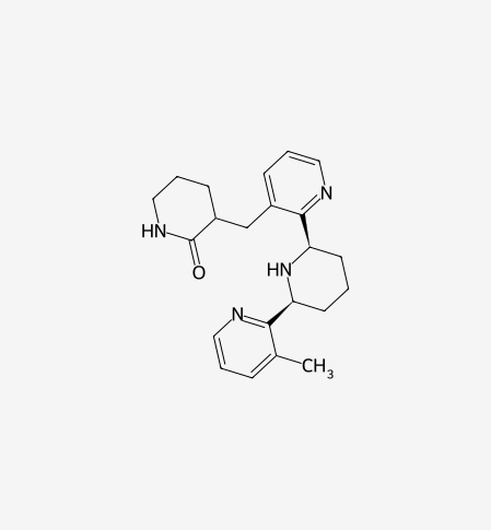 Cc1cccnc1[C@@H]1CCC[C@H](c2ncccc2CC2CCCNC2=O)N1